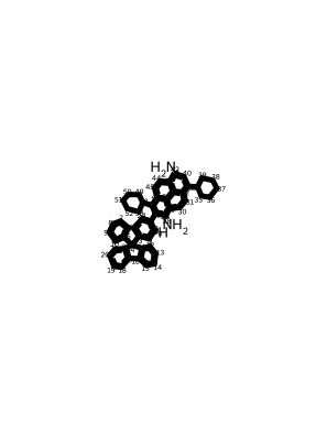 [2H]c1cc(C2(c3ccccc3)c3ccccc3-c3ccccc32)ccc1-c1c(N)c2ccc3c(C4CCCCC4)cc(N)c4ccc(c1C1CCCCC1)c2c43